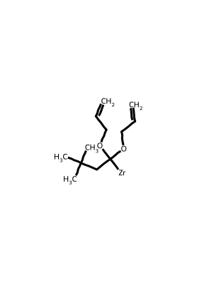 C=CCO[C]([Zr])(CC(C)(C)C)OCC=C